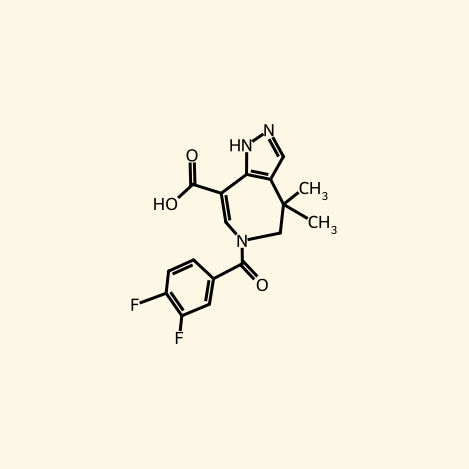 CC1(C)CN(C(=O)c2ccc(F)c(F)c2)C=C(C(=O)O)c2[nH]ncc21